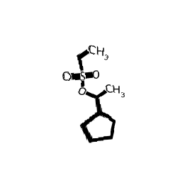 CCS(=O)(=O)OC(C)C1CCCC1